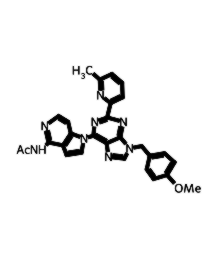 COc1ccc(Cn2cnc3c(-n4ccc5c(NC(C)=O)nccc54)nc(-c4cccc(C)n4)nc32)cc1